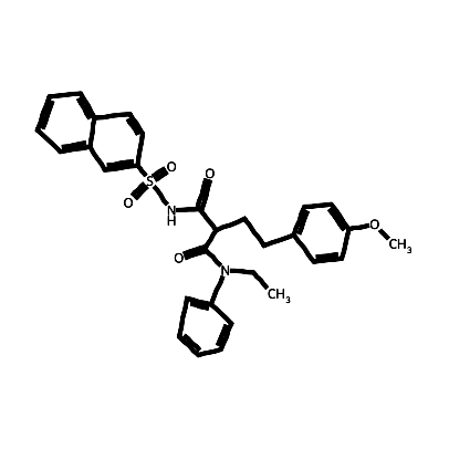 CCN(C(=O)C(CCc1ccc(OC)cc1)C(=O)NS(=O)(=O)c1ccc2ccccc2c1)c1ccccc1